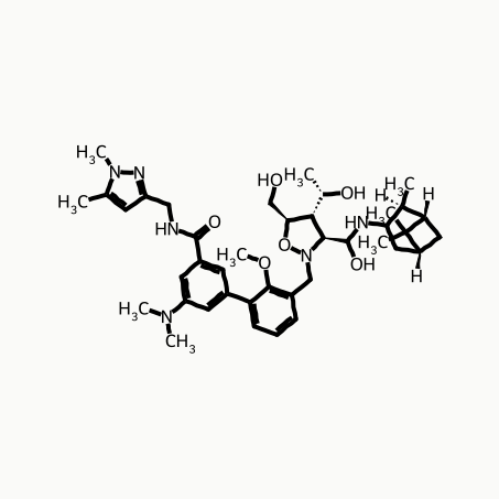 COc1c(CN2O[C@@H](CO)[C@H]([C@H](C)O)[C@H]2C(O)NC2C[C@H]3C[C@@H]([C@@H]2C)C3(C)C)cccc1-c1cc(C(=O)NCc2cc(C)n(C)n2)cc(N(C)C)c1